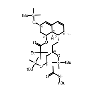 CCCCNC(=O)C[C@@H](C[C@@H](CC[C@@H]1[C@@H]2C(=C[C@H](O[Si](C)(C)C(C)(C)C)C[C@@H]2OC(=O)C(C)(C)CC)C=C[C@@H]1C)O[Si](C)(C)C(C)(C)C)O[Si](C)(C)C(C)(C)C